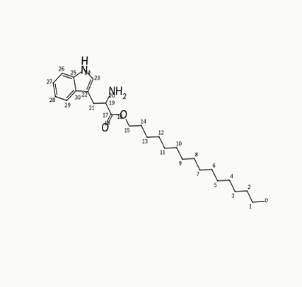 CCCCCCCCCCCCCCCCOC(=O)C(N)Cc1c[nH]c2ccccc12